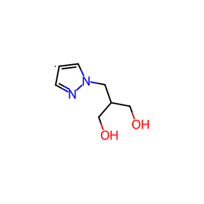 OCC(CO)Cn1c[c]cn1